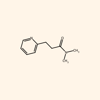 CN(C)C(=O)CCc1ccccn1